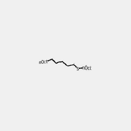 CCCCCCCCCCCC[CH]SCCCCCCCC